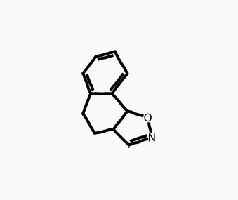 [C]1=NOC2c3ccccc3CCC12